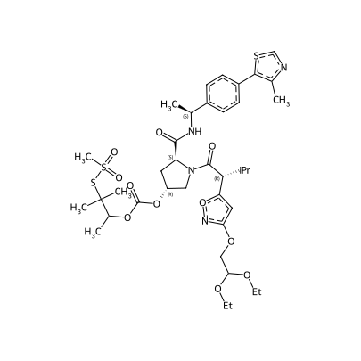 CCOC(COc1cc([C@H](C(=O)N2C[C@H](OC(=O)OC(C)C(C)(C)SS(C)(=O)=O)C[C@H]2C(=O)N[C@@H](C)c2ccc(-c3scnc3C)cc2)C(C)C)on1)OCC